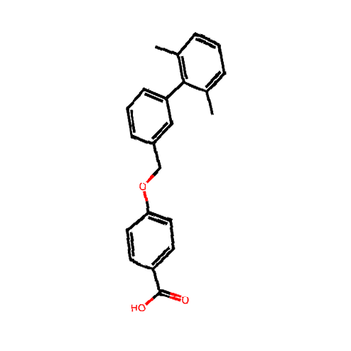 Cc1cccc(C)c1-c1cccc(COc2ccc(C(=O)O)cc2)c1